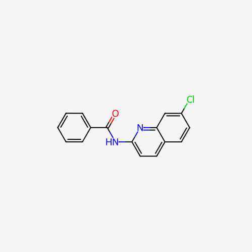 O=C(Nc1ccc2ccc(Cl)cc2n1)c1ccccc1